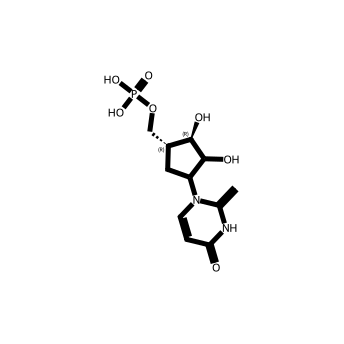 C=C1NC(=O)C=CN1C1C[C@H](COP(=O)(O)O)[C@@H](O)C1O